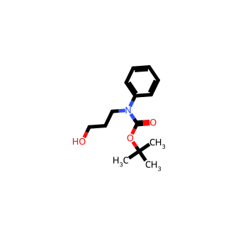 CC(C)(C)OC(=O)N(CCCO)c1ccccc1